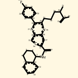 C=C(NC1CCCc2ccccc21)c1ccc2nc(-c3ccc(F)cc3)c(CCCC(C)C(=C)C)nc2c1